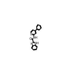 O=C(Nc1cc(-c2ccccc2)ccn1)c1nc2ccccc2[nH]1